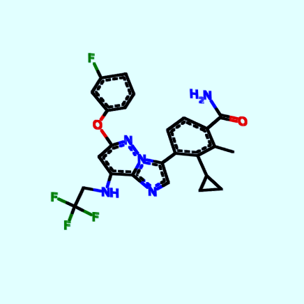 Cc1c(C(N)=O)ccc(-c2cnc3c(NCC(F)(F)F)cc(Oc4cccc(F)c4)nn23)c1C1CC1